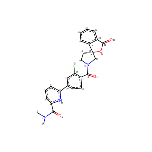 CN(C)C(=O)c1cccc(-c2ccc(C(=O)N3CC[C@@]4(C3)OC(=O)c3ccccc34)c(Cl)c2)n1